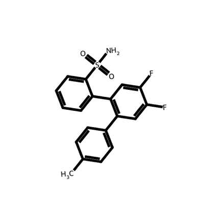 Cc1ccc(-c2cc(F)c(F)cc2-c2ccccc2S(N)(=O)=O)cc1